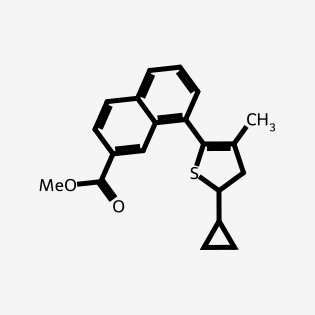 COC(=O)c1ccc2cccc(C3=C(C)CC(C4CC4)S3)c2c1